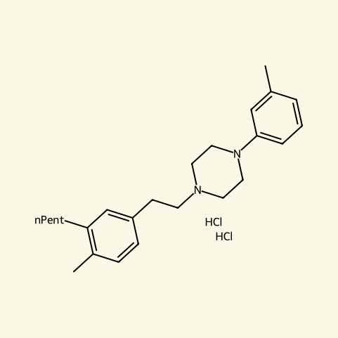 CCCCCc1cc(CCN2CCN(c3cccc(C)c3)CC2)ccc1C.Cl.Cl